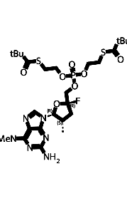 CNc1nc(N)nc2c1ncn2[C@@H]1O[C@](F)(COP(=O)(OCCSC(=O)C(C)(C)C)OCCSC(=O)C(C)(C)C)C[C@@H]1C